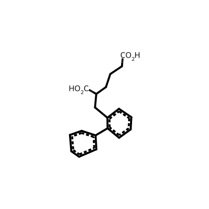 O=C(O)CCCC(Cc1ccccc1-c1ccccc1)C(=O)O